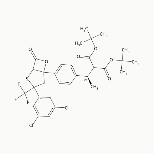 C[C@@H](c1ccc(C23CC(c4cc(Cl)cc(Cl)c4)(C(F)(F)F)SC2C(=O)O3)cc1)C(C(=O)OC(C)(C)C)C(=O)OC(C)(C)C